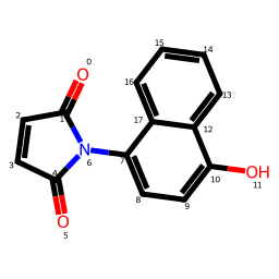 O=C1C=CC(=O)N1c1ccc(O)c2ccccc12